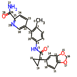 Cc1ccc(NC(=O)C2(c3ccc4c(c3)OCO4)CC2)cc1-c1ccc(C(N)=O)nc1